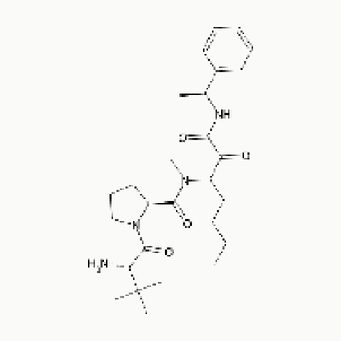 CCCCC(C(=O)C(=O)N[C@@H](C)c1ccccc1)N(C)C(=O)[C@@H]1CCCN1C(=O)[C@@H](N)C(C)(C)C